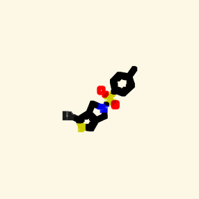 CCc1scc2c1CN(S(=O)(=O)c1ccc(C)cc1)C2